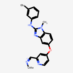 CO/N=C\c1cc(Oc2ccc3c(c2)nc(Nc2cccc(C(C)(C)C)c2)n3C)ccn1